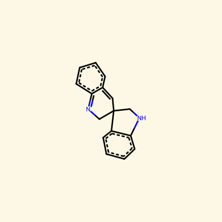 C1=c2ccccc2=NCC12CNc1ccccc12